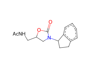 CC(=O)NCC1CN(C2CCc3ccccc32)C(=O)O1